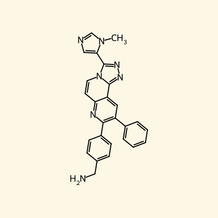 Cn1cncc1-c1nnc2c3cc(-c4ccccc4)c(-c4ccc(CN)cc4)nc3ccn12